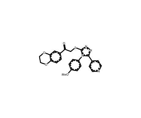 COc1ccc(-n2c(SCC(=O)c3ccc4c(c3)OCCO4)nnc2-c2ccncc2)cc1